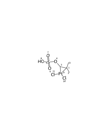 C[C]1(C)[CH](OS(=O)(=O)O)[Pt]1([Cl])[Cl]